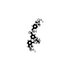 CCS(=O)(=O)c1ccc(CNC(=O)c2ccc3c(c2)nc(C(F)(F)F)n3Cc2cccc3cn(C)nc23)cc1